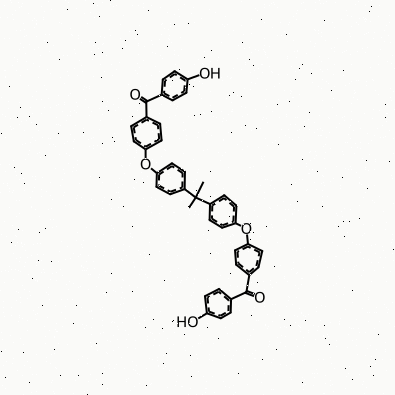 CC(C)(c1ccc(Oc2ccc(C(=O)c3ccc(O)cc3)cc2)cc1)c1ccc(Oc2ccc(C(=O)c3ccc(O)cc3)cc2)cc1